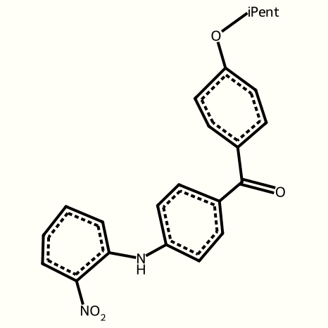 CCCC(C)Oc1ccc(C(=O)c2ccc(Nc3ccccc3[N+](=O)[O-])cc2)cc1